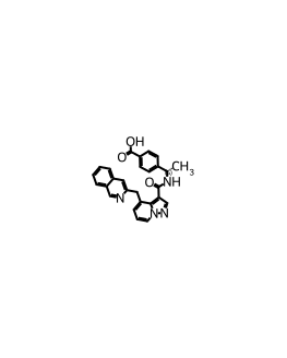 C[C@H](NC(=O)c1cnn2cccc(Cc3cc4ccccc4cn3)c12)c1ccc(C(=O)O)cc1